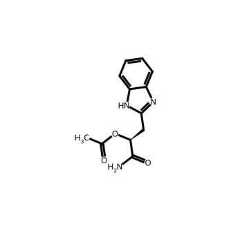 CC(=O)O[C@@H](Cc1nc2ccccc2[nH]1)C(N)=O